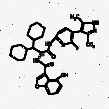 Cc1n[nH]c(C)c1-c1ccc(NC(=O)[C@@H](NC(=O)c2coc3cccc(O)c23)C(C2CCCCC2)C2CCCCC2)nc1F